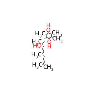 CC(C)=CCC/C(C)=C/CCC(C)(O)CCc1c(C)c(O)c(C)c(C)c1O